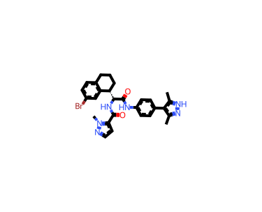 Cc1n[nH]c(C)c1-c1ccc(NC(=O)C(NC(=O)c2ccnn2C)[C@H]2CCCc3ccc(Br)cc32)cc1